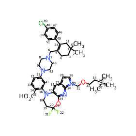 CC1(C)CCC(CN2CCN(c3ccc(C(=O)O)c(N4CCC(F)(F)Oc5nc6c(ccn6COCC[Si](C)(C)C)cc54)c3)CC2)=C(c2ccc(Cl)cc2)C1